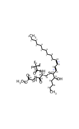 CCCCCCCCCC/C=C\C=C\C(SC[C@H](NC(=O)C(F)(F)F)C(=O)NCC(=O)OC)C(O)CCCC